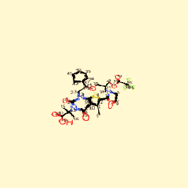 Cc1c(-c2ncco2)sc2c1c(=O)n(C(C)(C)C(=O)O)c(=O)n2C[C@H](OCC(C)COC(=O)C(F)(F)F)c1ccccc1